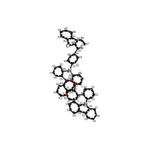 c1cc(-c2ccccc2-c2ccccc2-n2c3ccccc3c3ccccc32)cc(N(c2ccc(-c3cccc4c3oc3ccccc34)cc2)c2ccccc2-c2cccc3ccccc23)c1